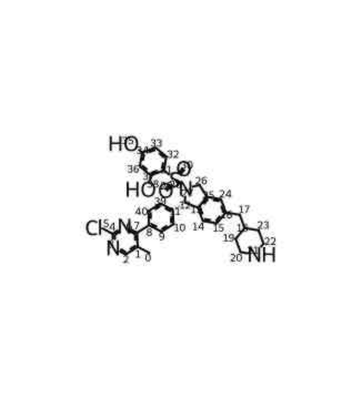 Cc1cnc(Cl)nc1-c1ccc([C@H]2c3ccc(CC4CCNCC4)cc3CN2S(=O)(=O)c2ccc(O)cc2O)cc1